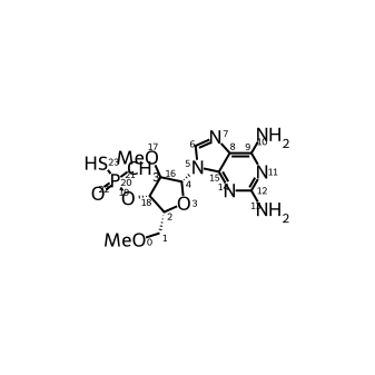 COC[C@H]1O[C@@H](n2cnc3c(N)nc(N)nc32)C(OC)[C@H]1OP(C)(=O)S